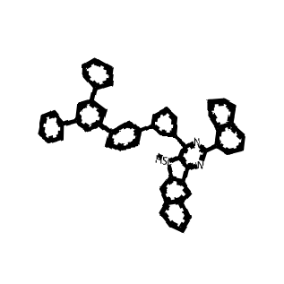 C[SiH]1c2cc3ccccc3cc2-c2nc(-c3cccc4ccccc34)nc(-c3cccc(-c4cccc(-c5cc(-c6ccccc6)cc(-c6ccccc6)c5)c4)c3)c21